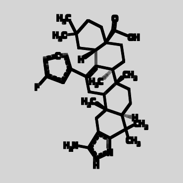 CC1(C)CC[C@]2(C(=O)O)CC[C@]3(C)C(=C(c4cccc(F)c4)CC4[C@@]5(C)Cc6c(n[nH]c6N)C(C)(C)[C@@H]5CC[C@]43C)[C@@H]2C1